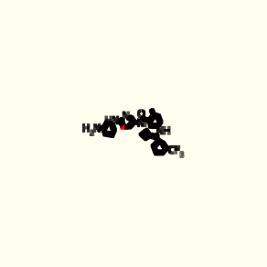 C=C(/N=C\C(=C/C)NC(=O)c1cc(NC(=C2CCC2)c2cccc(C(F)(F)F)c2)ccc1C)Nc1cccc(N)c1